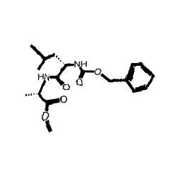 COC(=O)[C@H](C)NC(=O)[C@H](CC(C)C)NC(=O)OCc1ccccc1